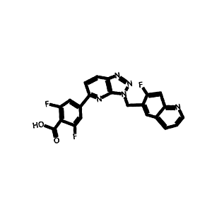 O=C(O)c1c(F)cc(-c2ccc3nnn(Cc4cc5cccnc5cc4F)c3n2)cc1F